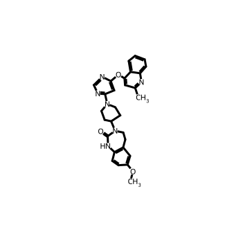 COc1ccc2c(c1)CCN(C1CCN(c3cc(Oc4cc(C)nc5ccccc45)ncn3)CC1)C(=O)N2